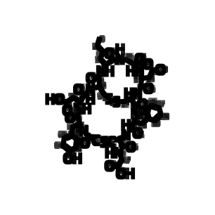 CCCCC1NC(=O)C2CSSCC(NC(=O)C(CC(=O)O)NC(=O)CNC1=O)C(=O)NC(Cc1ccccc1)C(=O)NC(C(=O)NCC(=O)O)CSCC(=O)NC(Cc1ccc(O)cc1)C(=O)NC(CC(=O)O)C(=O)N2